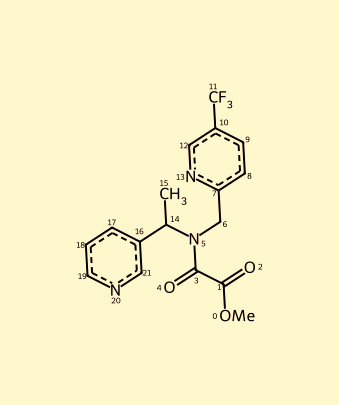 COC(=O)C(=O)N(Cc1ccc(C(F)(F)F)cn1)C(C)c1cccnc1